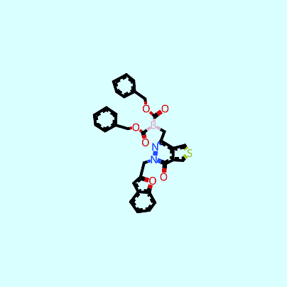 O=C(OCc1ccccc1)B(Cc1nn(Cc2cc3ccccc3o2)c(=O)c2cscc12)C(=O)OCc1ccccc1